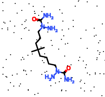 CC(C)(CCCCN(N)C(N)=O)CCCN(N)C(N)=O